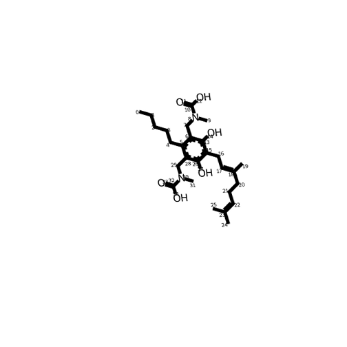 CCCCCc1c(CN(C)C(=O)O)c(O)c(C/C=C(\C)CCC=C(C)C)c(O)c1CN(C)C(=O)O